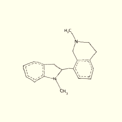 CN1CCc2cccc(C3Cc4ccccc4N3C)c2C1